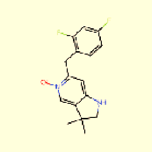 CC1(C)CNc2cc(Cc3ccc(F)cc3F)[n+]([O-])cc21